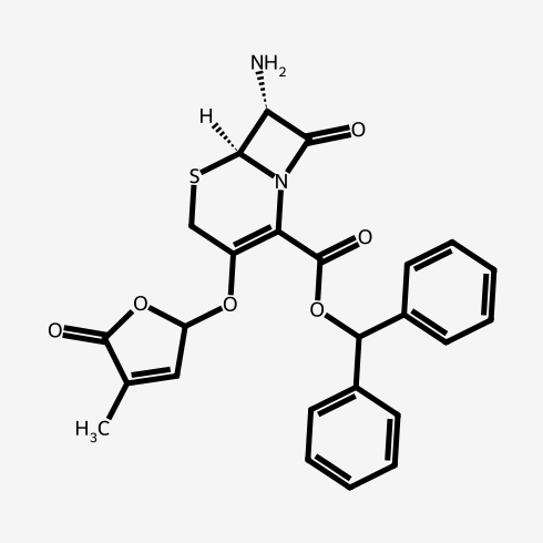 CC1=CC(OC2=C(C(=O)OC(c3ccccc3)c3ccccc3)N3C(=O)[C@@H](N)[C@@H]3SC2)OC1=O